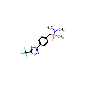 CN(C)P(C)(=O)Cc1ccc(-c2noc(C(F)(F)F)n2)cc1